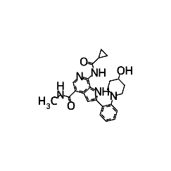 CNC(=O)c1cnc(NC(=O)C2CC2)c2[nH]c(-c3ccccc3N3CCC(O)CC3)cc12